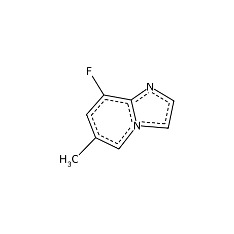 Cc1cc(F)c2nccn2c1